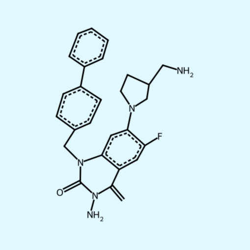 C=C1c2cc(F)c(N3CCC(CN)C3)cc2N(Cc2ccc(-c3ccccc3)cc2)C(=O)N1N